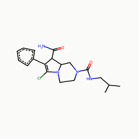 CC(C)CNC(=O)N1CCN2C(Cl)=C(c3ccccc3)C(C(N)=O)C2C1